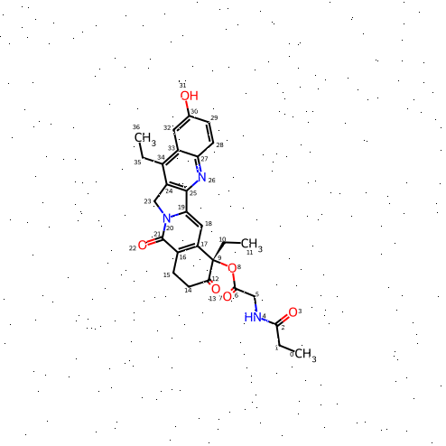 CCC(=O)NCC(=O)O[C@]1(CC)C(=O)CCc2c1cc1n(c2=O)Cc2c-1nc1ccc(O)cc1c2CC